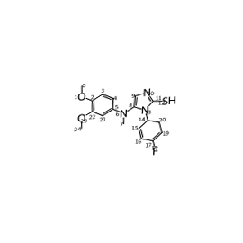 COc1ccc(N(C)c2cnc(S)n2C2C=CC(F)=CC2)cc1OC